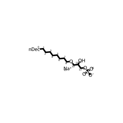 CCCCCCCCCCCCCCCCCCOCC(O)COS(=O)(=O)[O-].[Na+]